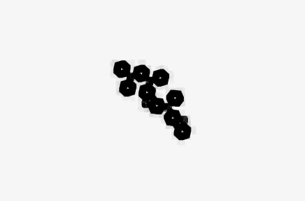 c1ccc(N(c2ccccc2)c2cccc(N(c3ccccc3)c3ccc4oc5ccc(N(c6ccccc6)c6ccc7c(c6)oc6ccccc67)cc5c4c3)c2)cc1